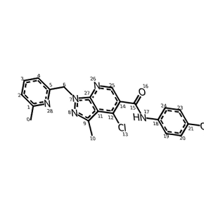 Cc1cccc(Cn2nc(C)c3c(Cl)c(C(=O)Nc4ccc(Cl)cc4)cnc32)n1